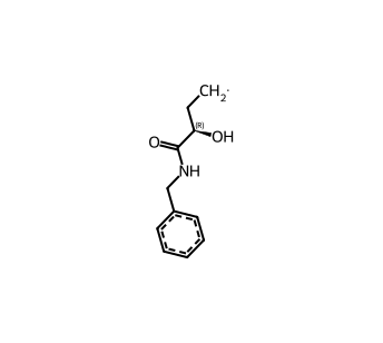 [CH2]C[C@@H](O)C(=O)NCc1ccccc1